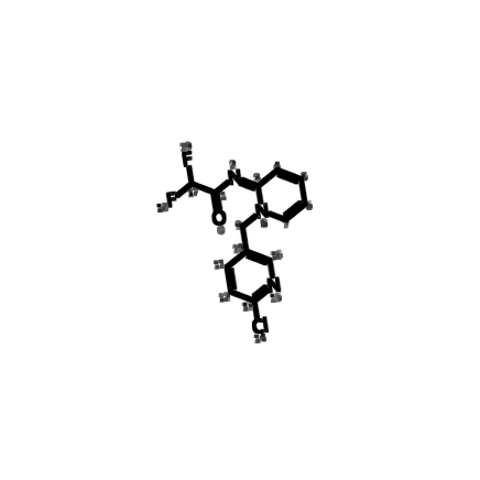 O=C(/N=c1/ccccn1Cc1ccc(Cl)nc1)C(F)F